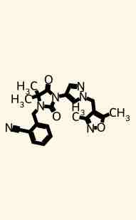 Cc1noc(C)c1Cn1cc(N2C(=O)N(Cc3ccccc3C#N)C(C)(C)C2=O)cn1